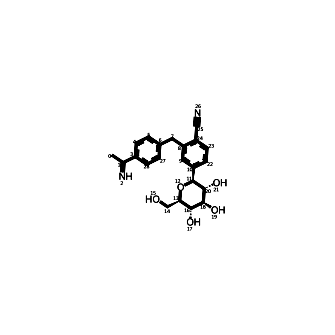 CC(=N)c1ccc(Cc2cc([C@@H]3O[C@H](CO)[C@@H](O)[C@H](O)[C@H]3O)ccc2C#N)cc1